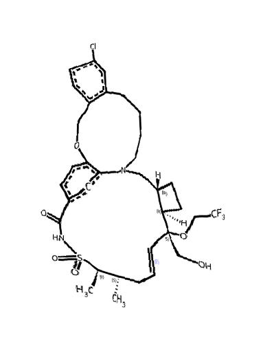 C[C@@H]1[C@@H](C)C/C=C/[C@@](CO)(OCC(F)(F)F)[C@@H]2CC[C@H]2CN2CCCCc3cc(Cl)ccc3COc3ccc(cc32)C(=O)NS1(=O)=O